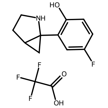 O=C(O)C(F)(F)F.Oc1ccc(F)cc1C12CC1CCN2